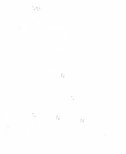 CNC(=O)c1cccc(-c2ccc3c(N4C=COCC4)nc(N4CCOCC4)nc3n2)c1